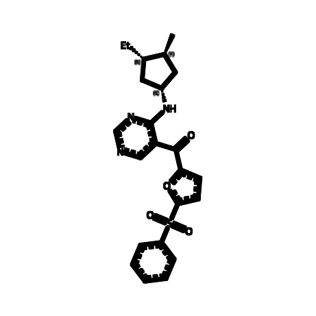 CC[C@H]1C[C@@H](Nc2ncncc2C(=O)c2ccc(S(=O)(=O)c3ccccc3)o2)C[C@@H]1C